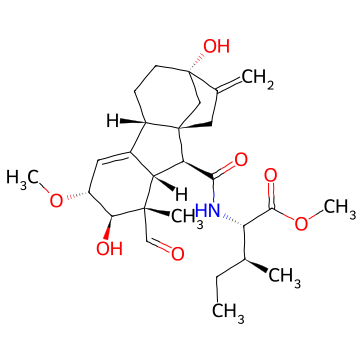 C=C1C[C@]23C[C@@]1(O)CC[C@H]2C1=C[C@@H](OC)[C@H](O)[C@@](C)(C=O)[C@H]1[C@@H]3C(=O)N[C@H](C(=O)OC)[C@@H](C)CC